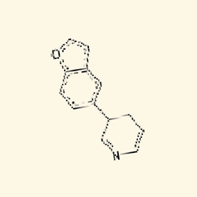 C1=CN=CC(c2ccc3occc3c2)C1